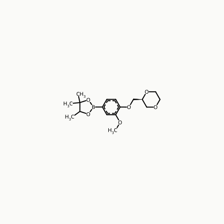 COc1cc(B2OC(C)C(C)(C)O2)ccc1OC[C@@H]1COCCO1